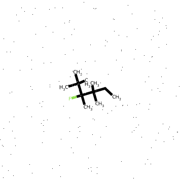 CCC(C)(C)C(C)(F)C(C)(C)C